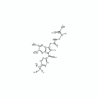 Cc1c(CC(=O)NCC(C)C(=O)O)c2cc(O)c(Cl)cc2n1C(=O)c1ccc(C(F)(F)F)cc1